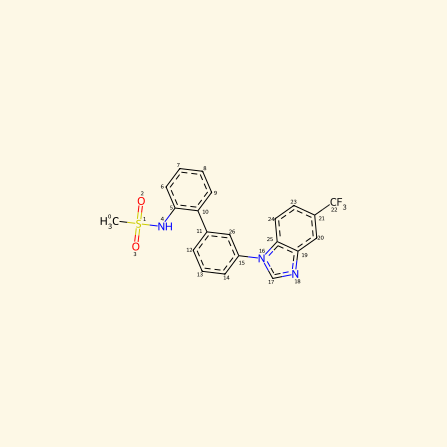 CS(=O)(=O)Nc1ccccc1-c1cccc(-n2cnc3cc(C(F)(F)F)ccc32)c1